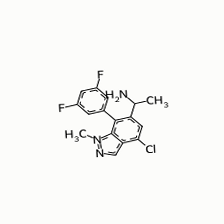 CC(N)c1cc(Cl)c2cnn(C)c2c1-c1cc(F)cc(F)c1